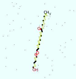 CSCSCSCSC(=O)CSCSCSCSCCOOCSCCSCO